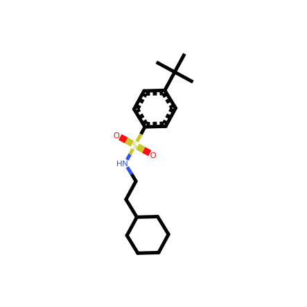 CC(C)(C)c1ccc(S(=O)(=O)NCCC2CCCCC2)cc1